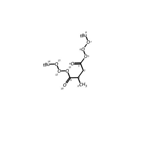 CC(CC(=O)OOOC(C)(C)C)C(=O)OOOC(C)(C)C